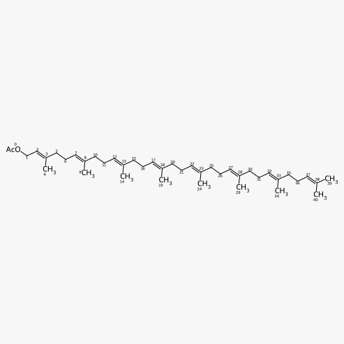 CC(=O)OC/C=C(\C)CC/C=C(\C)CC/C=C(\C)CC/C=C(\C)CC/C=C(\C)CC/C=C(\C)CC/C=C(\C)CCC=C(C)C